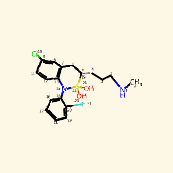 CNCCC[C@H]1Cc2cc(Cl)ccc2N(c2ccccc2F)S1(O)O